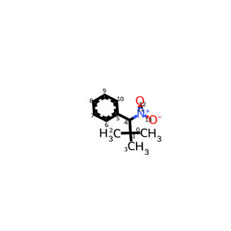 CC(C)(C)C(c1ccccc1)[N+](=O)[O-]